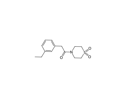 CCc1cccc(CC(=O)N2CCS(=O)(=O)CC2)c1